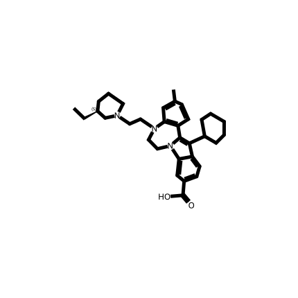 CC[C@H]1CCCN(CCN2CCn3c(c(C4CCCCC4)c4ccc(C(=O)O)cc43)-c3ccc(C)cc32)C1